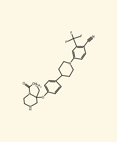 CCC1(Oc2ccc(C3CCN(c4ccc(C#N)c(C(F)(F)F)c4)CC3)cc2)CNCCN1C(=O)O